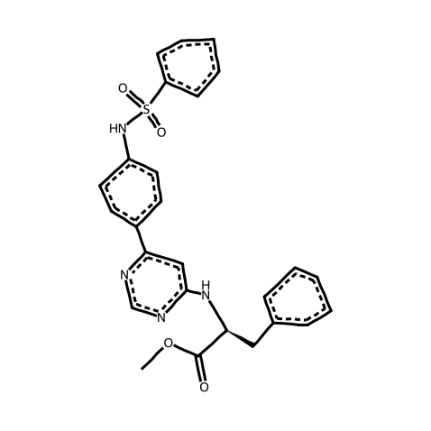 COC(=O)[C@H](Cc1ccccc1)Nc1cc(-c2ccc(NS(=O)(=O)c3ccccc3)cc2)ncn1